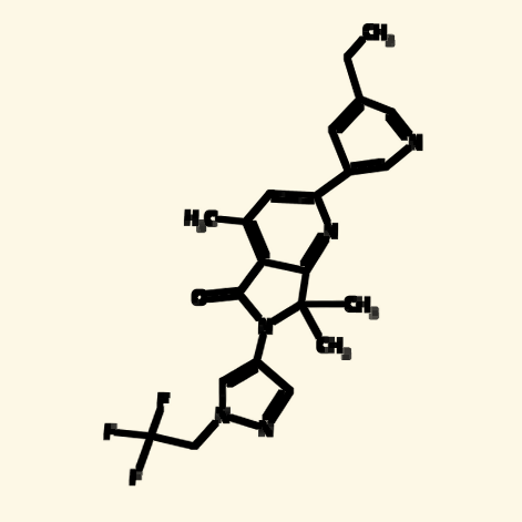 CCc1cncc(-c2cc(C)c3c(n2)C(C)(C)N(c2cnn(CC(F)(F)F)c2)C3=O)c1